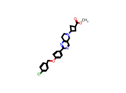 COC(=O)C1CC(N2CCc3nc(-c4ccc(OCc5ccc(Cl)cc5)cc4)ncc3C2)C1